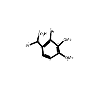 COc1ccc(C(C(=O)O)C(C)C)c(C(C)C)c1OC